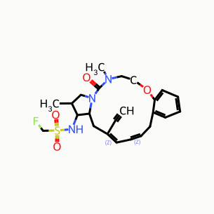 C#C/C1=C\C=C/Cc2ccccc2OCCN(C)C(=O)N2CC(C)C(NS(=O)(=O)CF)C2C1